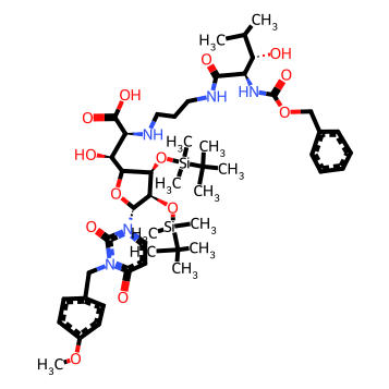 COc1ccc(Cn2c(=O)ccn([C@@H]3OC([C@@H](O)[C@H](NCCCNC(=O)[C@H](NC(=O)OCc4ccccc4)[C@@H](O)C(C)C)C(=O)O)[C@@H](O[Si](C)(C)C(C)(C)C)[C@H]3O[Si](C)(C)C(C)(C)C)c2=O)cc1